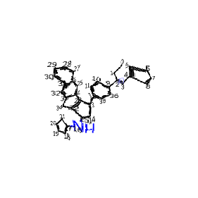 CC/C(=C\C1=C=CC=C1)c1ccc(C2=CC(NC3=CC=CC3)C3=C2c2cc4ccccc4cc2C3)cc1